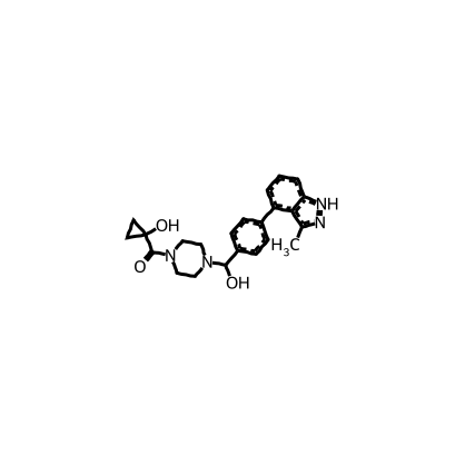 Cc1n[nH]c2cccc(-c3ccc(C(O)N4CCN(C(=O)C5(O)CC5)CC4)cc3)c12